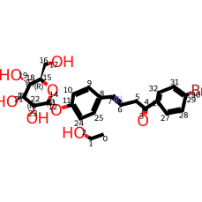 CCO.O=C(C/C=C/c1ccc(O[C@@H]2O[C@H](CO)[C@@H](O)[C@@H](O)[C@H]2O)cc1)c1ccc(Br)cc1